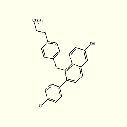 CCOC(=O)CCc1ccc(Oc2c(-c3ccc(Cl)cc3)ccc3cc(O)ccc23)cc1